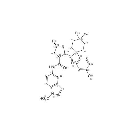 O=C(Nc1ccc2c(cnn2C(=O)O)n1)[C@H]1C[C@@H](F)CN1C(=O)C1(c2ccc(O)cc2)CCC(F)(F)CC1